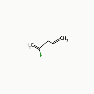 C=CCC(=C)F